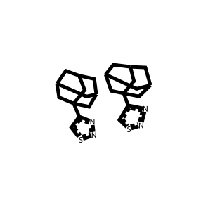 c1snnc1C12CC3CC(CC(C3)C1)C2.c1snnc1C12CC3CC(CC(C3)C1)C2